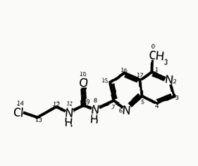 Cc1nccc2nc(NC(=O)NCCCl)ccc12